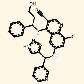 N#Cc1cnc2c(Cl)cc(NC(c3cccnc3)c3c[nH]nn3)cc2c1N[C@H](CCO)c1ccccc1